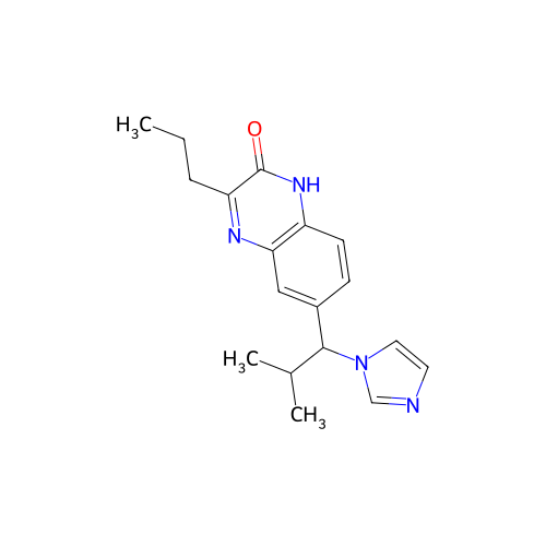 CCCc1nc2cc(C(C(C)C)n3ccnc3)ccc2[nH]c1=O